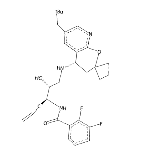 C=CC[C@H](NC(=O)c1cccc(F)c1F)[C@H](O)CN[C@H]1CC2(CCC2)Oc2ncc(CC(C)(C)C)cc21